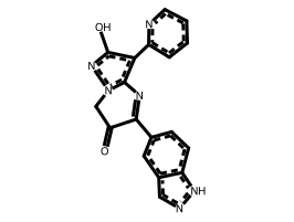 O=C1Cn2nc(O)c(-c3ccccn3)c2N=C1c1ccc2[nH]ncc2c1